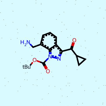 CC(C)(C)OC(=O)n1nc(C(=O)C2CC2)c2cccc(CN)c21